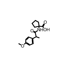 COc1ccc(C(C)C(=O)NC2(C(=O)O)CCCC2)cc1